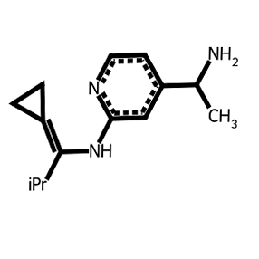 CC(C)C(Nc1cc(C(C)N)ccn1)=C1CC1